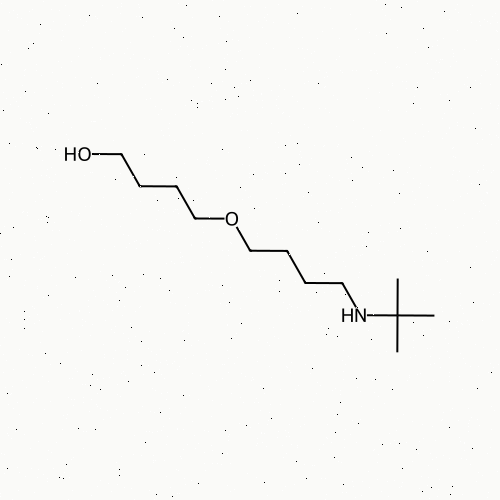 CC(C)(C)NCCCCOCCCCO